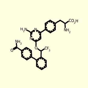 NC(=O)c1ccc(-c2ccccc2C(Oc2cc(-c3ccc(CC(N)C(=O)O)cc3)nc(N)n2)C(F)(F)F)cc1